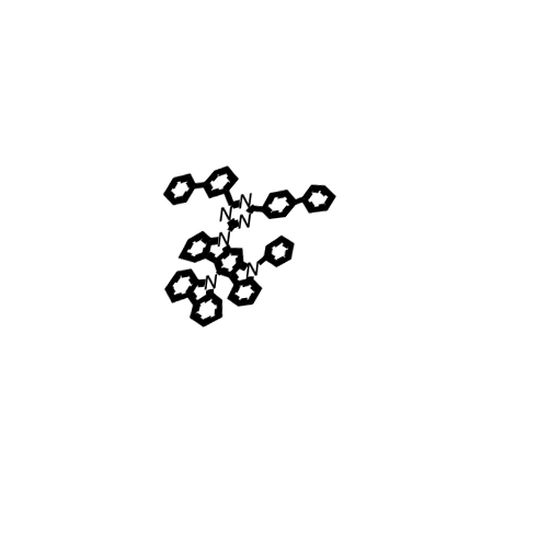 c1ccc(-c2ccc(-c3nc(-c4cccc(-c5ccccc5)c4)nc(-n4c5ccccc5c5c(-n6c7ccccc7c7ccccc76)c6c7ccccc7n(-c7ccccc7)c6cc54)n3)cc2)cc1